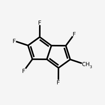 CC1=C(F)C2=C(F)C(F)=C(F)C2=C1F